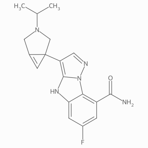 CC(C)N1CC2=CC2(c2cnn3c2[nH]c2cc(F)cc(C(N)=O)c23)C1